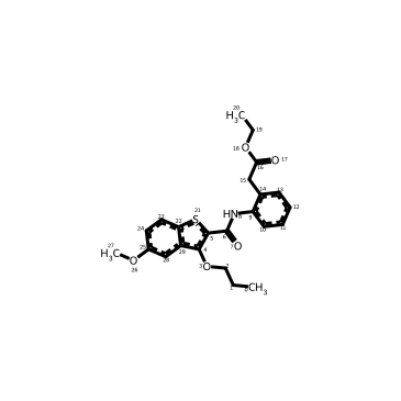 CCCOc1c(C(=O)Nc2ccccc2CC(=O)OCC)sc2ccc(OC)cc12